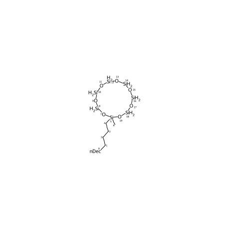 CCCCCCCCCCCCCC[Si]1(C)O[SiH2]O[SiH2]O[SiH2]O[SiH2]O[SiH2]O[SiH2]O1